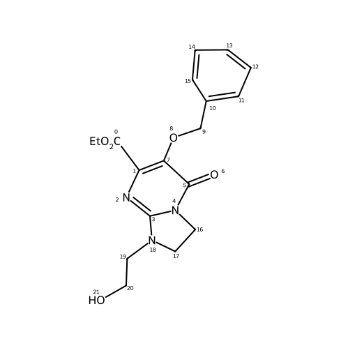 CCOC(=O)c1nc2n(c(=O)c1OCc1ccccc1)CCN2CCO